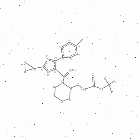 CC(C)(C)OC(=O)NCC1CCCCN1C(=O)c1nc(C2CC2)sc1-c1ccc(F)cc1